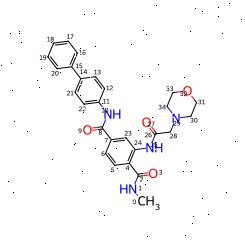 CNC(=O)c1ccc(C(=O)Nc2ccc(-c3ccccc3)cc2)cc1NC(=O)CN1CCOCC1